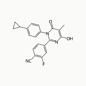 Cc1c(O)nc(-c2ccc(C#N)c(F)c2)n(-c2ccc(C3CC3)cc2)c1=O